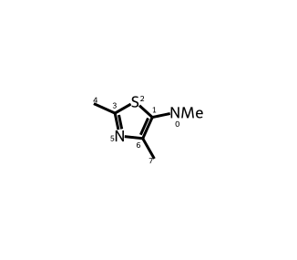 CNc1sc(C)nc1C